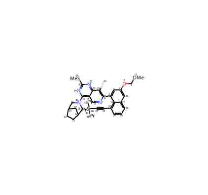 COCOc1cc(-c2ncc3c(N4CC5CCC(C5)C4)nc(SC)nc3c2F)c2c(C#C[Si](C(C)C)(C(C)C)C(C)C)cccc2c1